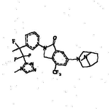 CN1C2CCC1CN(c1cc3c(c(C(F)(F)F)c1)CN(c1cccc(C(C)(F)C(F)(F)c4nncn4C)c1)C3=O)C2